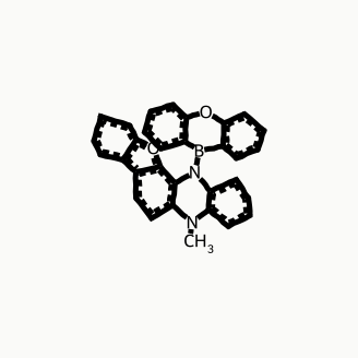 CN1c2ccccc2N(B2c3ccccc3Oc3ccccc32)c2c1ccc1c2oc2ccccc21